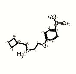 CN(CCOc1ccc(B(O)O)cc1)CC1CCC1